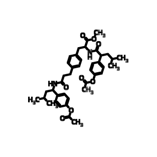 COC(=O)C(Cc1ccc(CCC(=O)NC(CC(C)C)c2ccc(OC(C)=O)cc2)cc1)NC(=O)C(CC(C)C)c1ccc(OC(C)=O)cc1